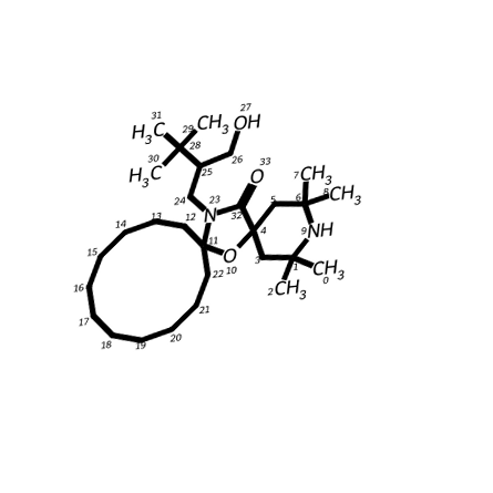 CC1(C)CC2(CC(C)(C)N1)OC1(CCCCCCCCCCC1)N(CC(CO)C(C)(C)C)C2=O